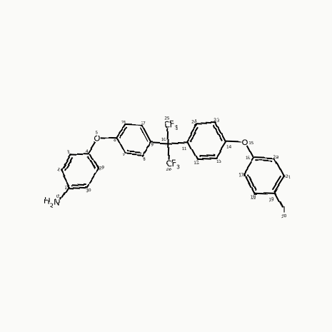 Nc1ccc(Oc2ccc(C(c3ccc(Oc4ccc(I)cc4)cc3)(C(F)(F)F)C(F)(F)F)cc2)cc1